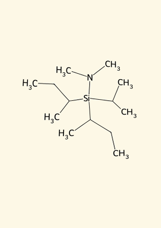 CCC(C)[Si](C(C)C)(C(C)CC)N(C)C